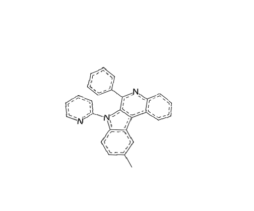 Cc1ccc2c(c1)c1c3ccccc3nc(-c3ccccc3)c1n2-c1ccccn1